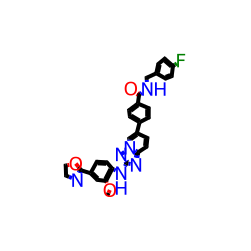 COc1cc(C2=NCCO2)ccc1Nc1nc2ccc(-c3ccc(C(=O)NCc4ccc(F)cc4)cc3)cn2n1